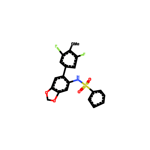 COc1c(F)cc(-c2cc3c(cc2NS(=O)(=O)c2ccccc2)OCO3)cc1F